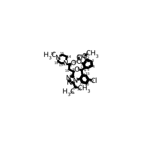 COc1cccc(C2OC(CC(=O)N3CCN(C)CC3)c3nnc(C(C)C)n3-c3ccc(Cl)cc32)c1OC